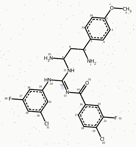 COc1ccc(C(N)CC(N)N/C(=N\C(=O)c2ccc(Cl)c(F)c2)Nc2cc(F)cc(Cl)c2)cc1